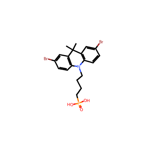 CC1(C)c2cc(Br)ccc2N(CCCCP(=O)(O)O)c2ccc(Br)cc21